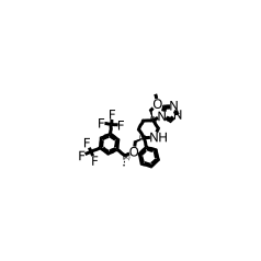 COC[C@]1(n2cnnc2)CC[C@@](CO[C@H](C)c2cc(C(F)(F)F)cc(C(F)(F)F)c2)(c2ccccc2)NC1